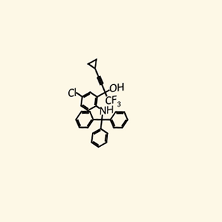 OC(C#CC1CC1)(c1cc(Cl)ccc1NC(c1ccccc1)(c1ccccc1)c1ccccc1)C(F)(F)F